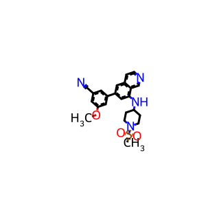 COc1cc(C#N)cc(-c2cc(NC3CCN(S(C)(=O)=O)CC3)c3cnccc3c2)c1